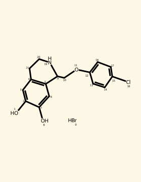 Br.Oc1cc2c(cc1O)C(COc1ccc(Cl)cc1)NCC2